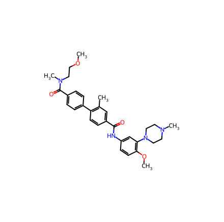 COCCN(C)C(=O)c1ccc(-c2ccc(C(=O)Nc3ccc(OC)c(N4CCN(C)CC4)c3)cc2C)cc1